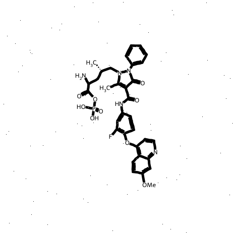 COc1ccc2c(Oc3ccc(NC(=O)c4c(C)n(C[C@@H](C)CC(N)C(=O)OP(=O)(O)O)n(-c5ccccc5)c4=O)cc3F)ccnc2c1